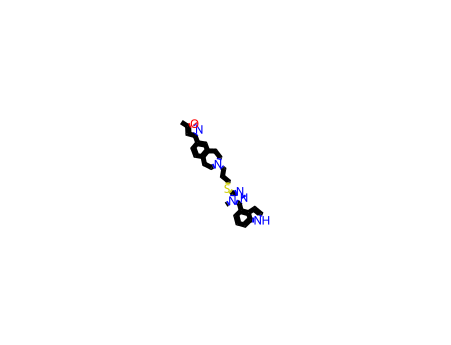 Cc1cc(-c2ccc3c(c2)CCN(CCCSc2nnc(-c4cccc5[nH]ccc45)n2C)CC3)no1